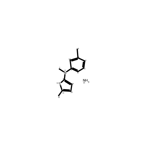 Cc1cccc(N(C)c2ccc(C)s2)c1.N